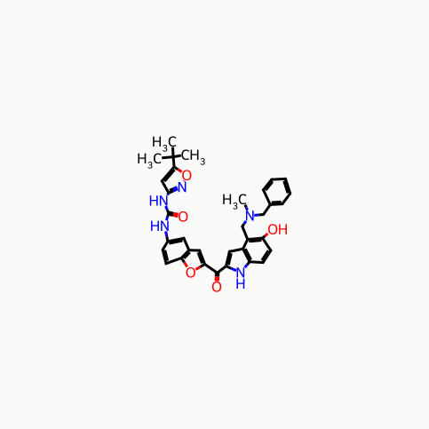 CN(Cc1ccccc1)Cc1c(O)ccc2[nH]c(C(=O)c3cc4cc(NC(=O)Nc5cc(C(C)(C)C)on5)ccc4o3)cc12